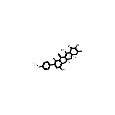 C=C1C2=C(O)[C@@]3(C)C(=O)C(C(C)=O)=C(C)C[C@@]3(C)C[C@@]2(C)Cc2c(C(C)C)cc(-c3ccc(OC(F)(F)F)cc3)c(C)c21